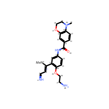 CN/C(=C\C=N)c1cc(NC(=O)c2ccc3c(c2)OCCN3C)ccc1OCCN